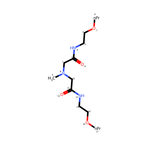 CCCOCCNC(=O)CN(C)CC(=O)NCCOCCC